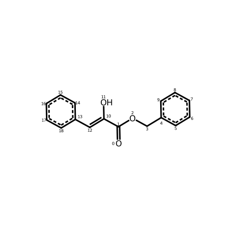 O=C(OCc1ccccc1)C(O)=Cc1ccccc1